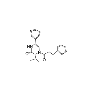 CC(C)C1C(=O)NC(c2ccccc2)=CN1C(=O)CCc1ccccc1